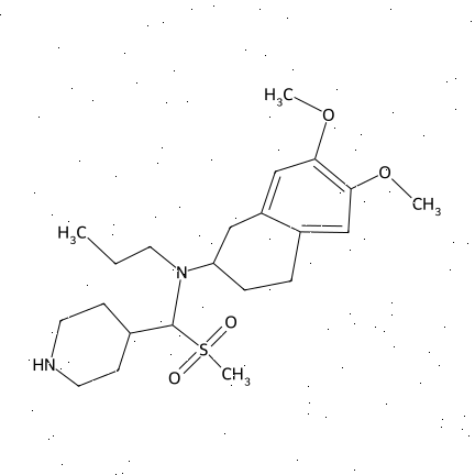 CCCN(C1CCc2cc(OC)c(OC)cc2C1)C(C1CCNCC1)S(C)(=O)=O